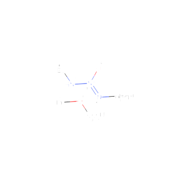 CC(C)OC(=O)O.CCCCCCC/N=[N+](\[O-])NCC